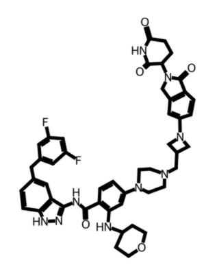 O=C1CCC(N2Cc3cc(N4CC(CN5CCN(c6ccc(C(=O)Nc7n[nH]c8ccc(Cc9cc(F)cc(F)c9)cc78)c(NC7CCOCC7)c6)CC5)C4)ccc3C2=O)C(=O)N1